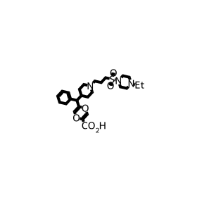 CCN1CCN(S(=O)(=O)CCCN2CCC(C(C3=CC=CCC3)C3=COC(C(=O)O)=CO3)CC2)CC1